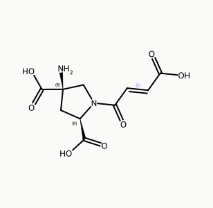 N[C@]1(C(=O)O)C[C@H](C(=O)O)N(C(=O)/C=C/C(=O)O)C1